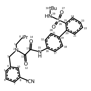 CC(C)CN(Cc1cccc(C#N)c1)C(=O)C(=O)Nc1ccc(-c2ccccc2S(=O)(=O)NC(C)(C)C)cc1